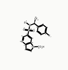 CCN([C@H](c1ccc(F)cc1)C(F)(F)F)S(=O)(=O)c1cnc2ccn(C(=O)O)c2c1